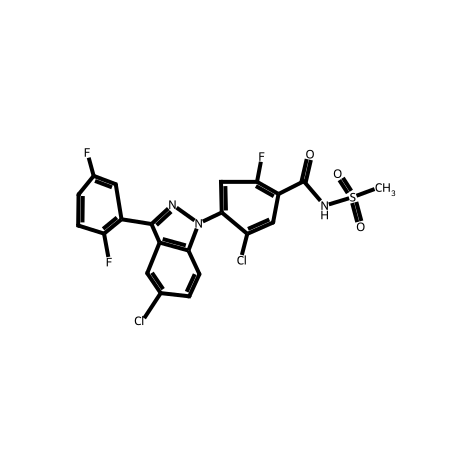 CS(=O)(=O)NC(=O)c1cc(Cl)c(-n2nc(-c3cc(F)ccc3F)c3cc(Cl)ccc32)cc1F